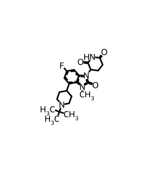 Cn1c(=O)n(C2CCC(=O)NC2=O)c2cc(F)cc(C3CCN(C(C)(C)C)CC3)c21